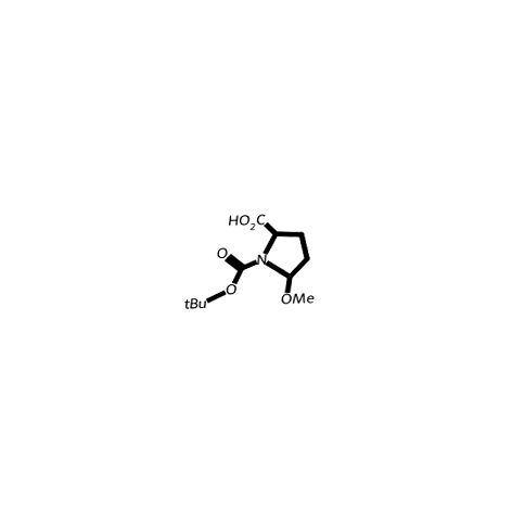 COC1CCC(C(=O)O)N1C(=O)OC(C)(C)C